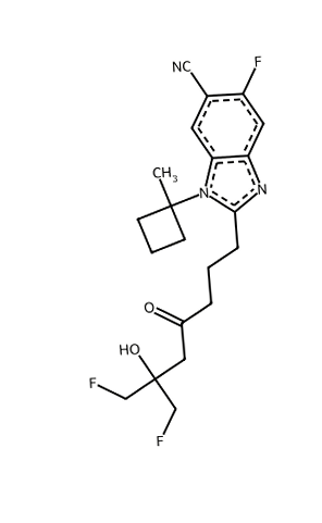 CC1(n2c(CCCC(=O)CC(O)(CF)CF)nc3cc(F)c(C#N)cc32)CCC1